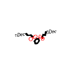 CCCCCCCCCCCCCC(=O)O[C@H]1CCCC[C@@H]1OC(=O)CCCCCCCCCCCCC